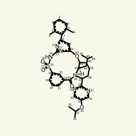 Cc1cccc(C)c1-c1cc2nc(n1)NS(=O)(=O)c1cccc(c1)C(=O)N1C(c3ncc(OC(C)C)cn3)CCCC(O2)[C@H]1CC(C)C